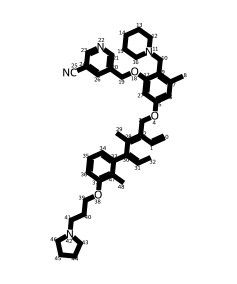 C=C/C(COc1cc(C)c(CN2CCCCC2)c(OCc2cncc(C#N)c2)c1)=C(C)\C(=C/C)c1cccc(OCCCN2CCCC2)c1C